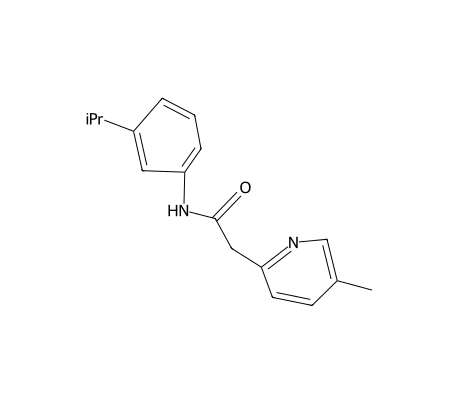 Cc1ccc(CC(=O)Nc2cccc(C(C)C)c2)nc1